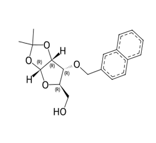 CC1(C)O[C@H]2O[C@H](CO)[C@@H](OCc3ccc4ccccc4c3)[C@H]2O1